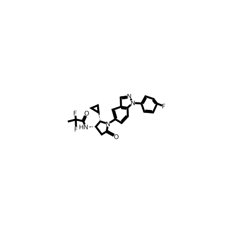 CC(F)(F)C(=O)N[C@H]1CC(=O)N(c2ccc3c(cnn3-c3ccc(F)cc3)c2)[C@H]1C1CC1